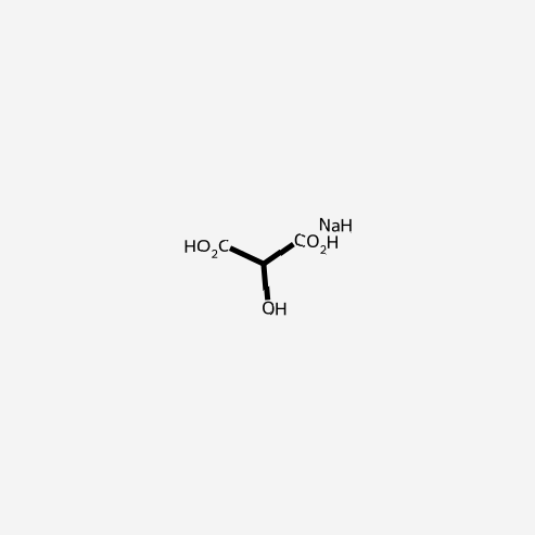 O=C(O)C(O)C(=O)O.[NaH]